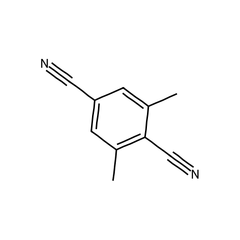 Cc1cc(C#N)cc(C)c1C#N